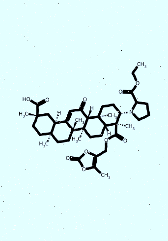 CCOC(=O)C1CCCN1[C@H]1CC[C@@]2(C)[C@@H](CC[C@]3(C)[C@@H]2C(=O)C=C2[C@@H]4C[C@@](C)(C(=O)O)CC[C@]4(C)CC[C@]23C)[C@]1(C)C(=O)OCc1oc(=O)oc1C